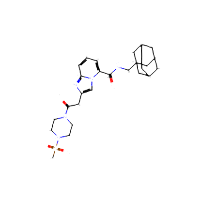 CS(=O)(=O)N1CCN(C(=O)Cc2cn3c(C(=O)NCC45CC6CC(CC(C6)C4)C5)cccc3n2)CC1